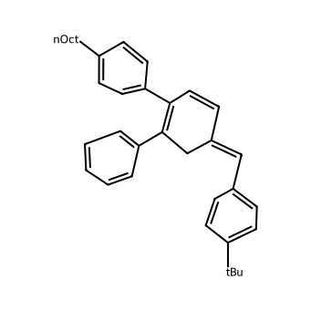 CCCCCCCCc1ccc(C2=C(c3ccccc3)CC(=Cc3ccc(C(C)(C)C)cc3)C=C2)cc1